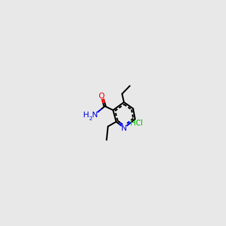 CCc1ccnc(CC)c1C(N)=O.Cl